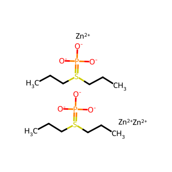 CCCS(CCC)=P([O-])([O-])[O-].CCCS(CCC)=P([O-])([O-])[O-].[Zn+2].[Zn+2].[Zn+2]